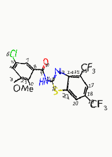 COc1c(C)cc(Cl)cc1C(=O)Nc1nc2c(C(F)(F)F)cc(C(F)(F)F)cc2s1